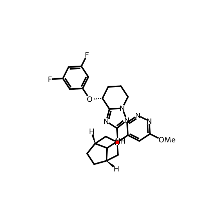 COc1cc(N2C[C@H]3CC[C@@H](C2)C3Nc2nc3n(n2)CCC[C@H]3Oc2cc(F)cc(F)c2)cnn1